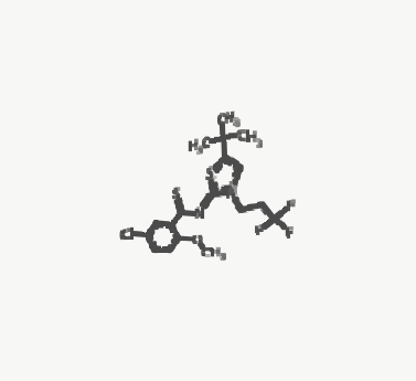 COc1ccc(Cl)cc1C(=S)N=c1sc(C(C)(C)C)cn1CCC(F)(F)F